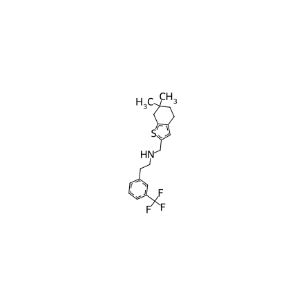 CC1(C)CCc2cc(CNCCc3cccc(C(F)(F)F)c3)sc2C1